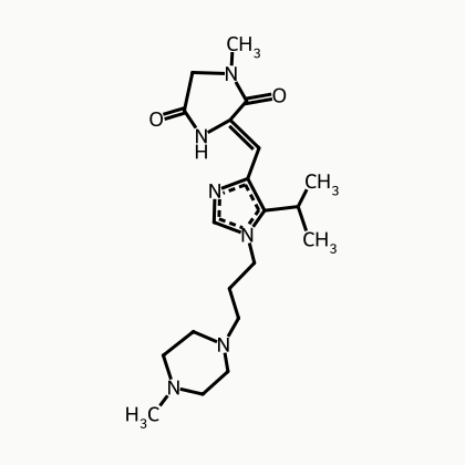 CC(C)c1c(/C=C2\NC(=O)CN(C)C2=O)ncn1CCCN1CCN(C)CC1